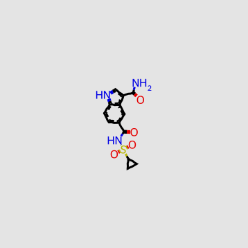 NC(=O)c1c[nH]c2ccc(C(=O)NS(=O)(=O)C3CC3)cc12